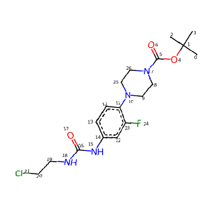 CC(C)(C)OC(=O)N1CCN(c2ccc(NC(=O)NCCCl)cc2F)CC1